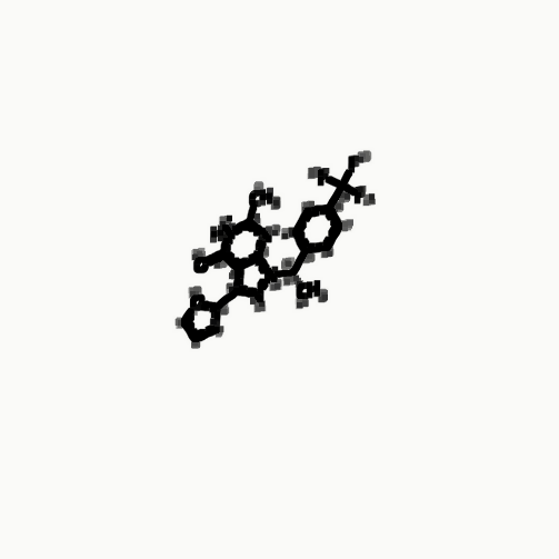 Cc1nc2c(c(-c3ccco3)nn2[C@@H](C)c2ccc(C(F)(F)F)cc2)c(=O)[nH]1